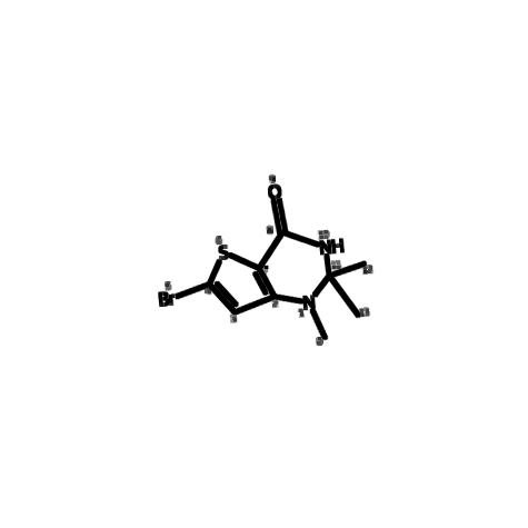 CN1c2cc(Br)sc2C(=O)NC1(C)C